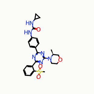 C[C@H]1COCCN1c1nc(-c2ccc(NC(=O)NC3CC3)cc2)nc(-c2ccccc2S(C)(=O)=O)n1